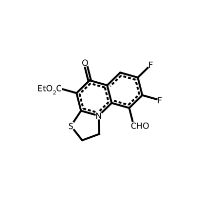 CCOC(=O)c1c2n(c3c(C=O)c(F)c(F)cc3c1=O)CCS2